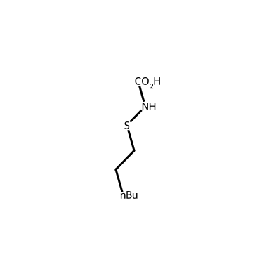 CCCCCCSNC(=O)O